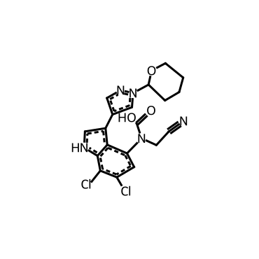 N#CCN(C(=O)O)c1cc(Cl)c(Cl)c2[nH]cc(-c3cnn(C4CCCCO4)c3)c12